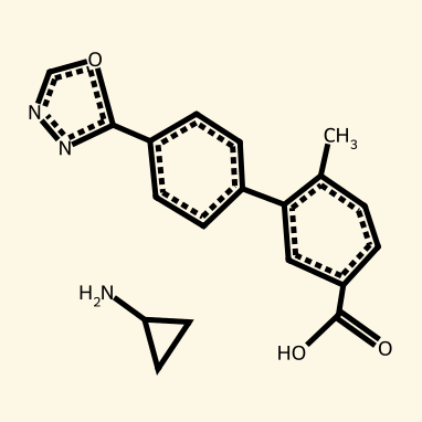 Cc1ccc(C(=O)O)cc1-c1ccc(-c2nnco2)cc1.NC1CC1